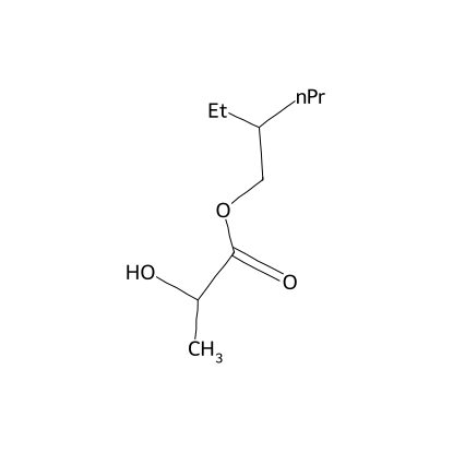 CCCC(CC)COC(=O)C(C)O